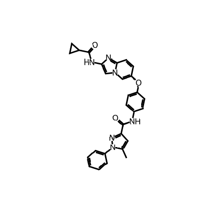 Cc1cc(C(=O)Nc2ccc(Oc3ccc4nc(NC(=O)C5CC5)cn4c3)cc2)nn1-c1ccccc1